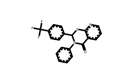 O=C1c2cccnc2SC(c2ccc(C(F)(F)F)cc2)N1c1ccccc1